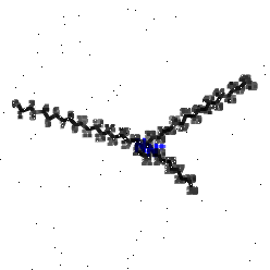 CCCCCCCCCCCCCCCCCCCn1cc[n+](CCCCCCCC)c1CCCCCCCCCCCCCCCCCC